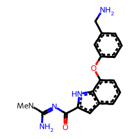 CNC(N)=NC(=O)c1cc2cccc(Oc3cccc(CN)c3)c2[nH]1